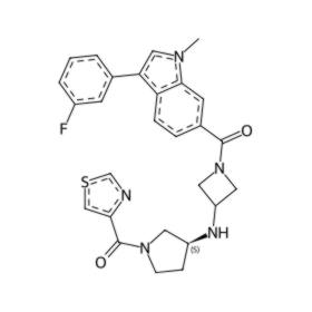 Cn1cc(-c2cccc(F)c2)c2ccc(C(=O)N3CC(N[C@H]4CCN(C(=O)c5cscn5)C4)C3)cc21